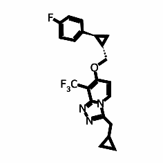 Fc1ccc([C@H]2C[C@@H]2COc2ccn3c(CC4CC4)nnc3c2C(F)(F)F)cc1